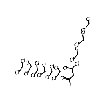 CC(=O)CC(Cl)Cl.ClCCl.ClCCl.ClCCl.ClCCl.ClCCl.ClCCl.ClCCl.ClCCl.ClCCl